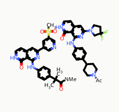 CC(=O)N1CCC(c2ccc(Nc3nc(N4CCC(F)(F)C4)cc4cc[nH]c(=O)c34)cc2)CC1.CNC(=O)C(C)(C)c1ccc(Nc2nc(-c3cncc(S(C)(=O)=O)c3)cc3cc[nH]c(=O)c23)cc1